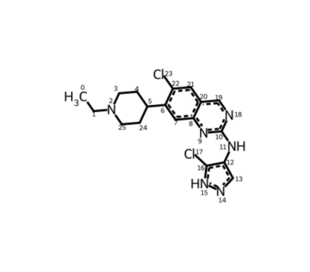 CCN1CCC(c2cc3nc(Nc4cn[nH]c4Cl)ncc3cc2Cl)CC1